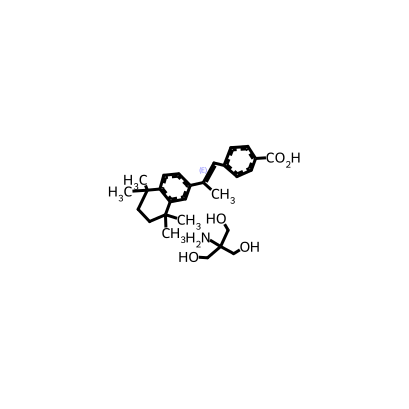 C/C(=C\c1ccc(C(=O)O)cc1)c1ccc2c(c1)C(C)(C)CCC2(C)C.NC(CO)(CO)CO